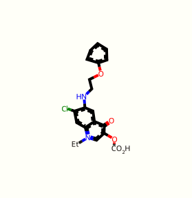 CCn1cc(OC(=O)O)c(=O)c2cc(NCCOc3ccccc3)c(Cl)cc21